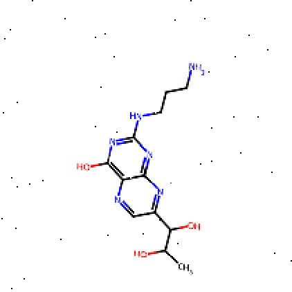 CC(O)C(O)c1cnc2c(O)nc(NCCCN)nc2n1